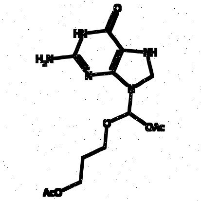 CC(=O)OCCCOC(OC(C)=O)N1CNc2c1nc(N)[nH]c2=O